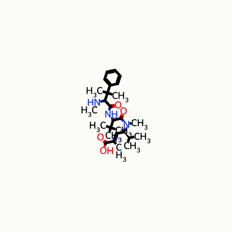 CNC(C(=O)N[C@H](C(=O)N(C)[C@H](/C=C(\C)C(=O)O)C(C)C)C(C)(C)C)C(C)(C)c1ccccc1